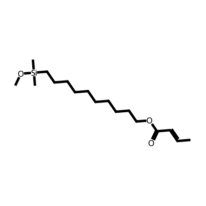 CC=CC(=O)OCCCCCCCCCC[Si](C)(C)OC